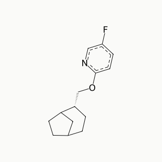 Fc1ccc(OC[C@@H]2CCC3CCC2C3)nc1